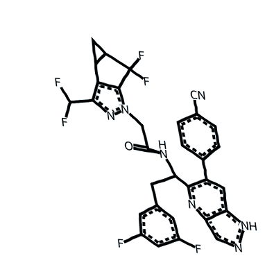 N#Cc1ccc(-c2cc3[nH]ncc3nc2C(Cc2cc(F)cc(F)c2)NC(=O)Cn2nc(C(F)F)c3c2C(F)(F)C2CC32)cc1